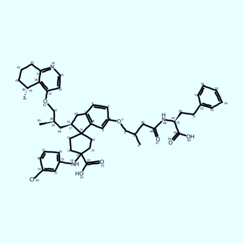 CC(COc1ccc2c(c1)C1(CCC(Nc3cccc(Cl)c3)(C(=O)O)CC1)[C@@H](C[C@@H](C)COc1ccnc3c1[C@H](C)CCC3)C2)CC(=O)N[C@@H](CCc1ccccc1)C(=O)O